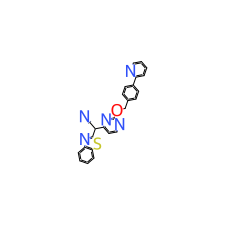 N#CC(c1ccnc(OCc2ccc(-c3ccccn3)cc2)n1)c1nc2ccccc2s1